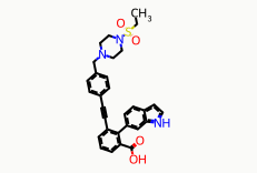 CCS(=O)(=O)N1CCN(Cc2ccc(C#Cc3cccc(C(=O)O)c3-c3ccc4cc[nH]c4c3)cc2)CC1